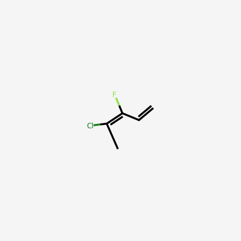 C=C/C(F)=C(\C)Cl